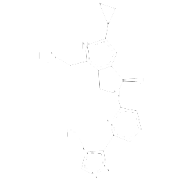 CC(C)n1cnnc1-c1cccc(N2Cc3c(cc(C4CC4)nc3CN)C2=O)n1